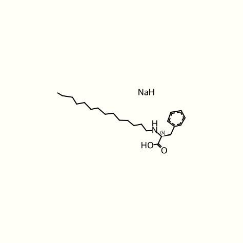 CCCCCCCCCCCCCCN[C@@H](Cc1ccccc1)C(=O)O.[NaH]